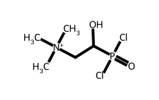 C[N+](C)(C)CC(O)P(=O)(Cl)Cl